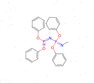 CN=P(N=[PH](Oc1ccccc1)Oc1ccccc1)(OC1=CCCC=C1)Oc1ccccc1